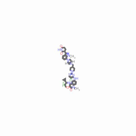 Cn1nc(C2CCC(=O)NC2=O)c2cccc(N3C[C@@H]4C[C@H]3CN4CC3CCN(c4ncc(Cl)c(Nc5ccc6c(c5)c5c(c(=O)n6C)OCC(F)(F)C(C6CC6)N5)n4)CC3)c21